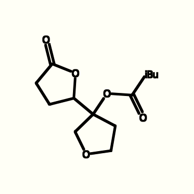 CCC(C)C(=O)OC1(C2CCC(=O)O2)CCOC1